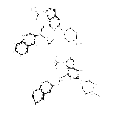 CC(=O)N1CCN(c2nc(NC(c3cnc4ccccc4c3)C3CC3)c3c(cnn3C(C)C(C)C)n2)CC1.CCC(CC)n1ncc2nc(N3CCN(C(C)=O)CC3)nc(N[C@H](C)c3cnc4ccc(F)cc4c3)c21